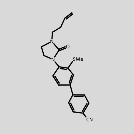 C=CCCN1CCN(c2ccc(-c3ccc(C#N)cc3)cc2SC)C1=O